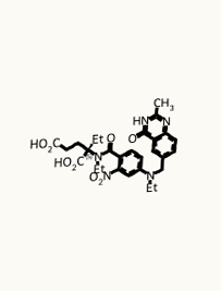 CCN(Cc1ccc2nc(C)[nH]c(=O)c2c1)c1ccc(C(=O)N(CC)[C@@](CC)(CCC(=O)O)C(=O)O)c([N+](=O)[O-])c1